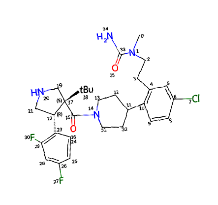 CN(CCc1cc(Cl)ccc1C1CCN(C(=O)[C@@]2(C(C)(C)C)CNC[C@H]2c2ccc(F)cc2F)CC1)C(N)=O